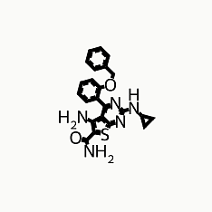 NC(=O)c1sc2nc(NC3CC3)nc(-c3ccccc3OCc3ccccc3)c2c1N